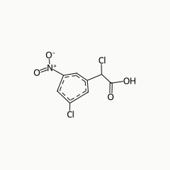 O=C(O)C(Cl)c1cc(Cl)cc([N+](=O)[O-])c1